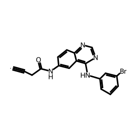 [C]#CCC(=O)Nc1ccc2ncnc(Nc3cccc(Br)c3)c2c1